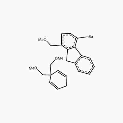 COCC1(COC)C=CCC=C1.COCc1ccc(C(C)(C)C)c2c1Cc1ccccc1-2